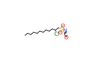 CCCCCCCCCCC(Cl)CS(=O)(=O)N=C=O